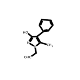 Cc1c(-c2ccccc2)c(O)nn1CC=O